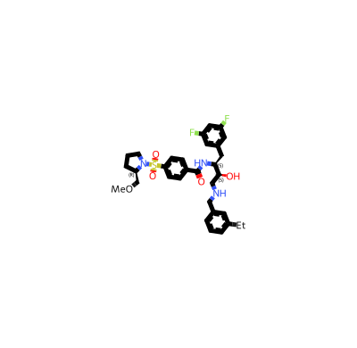 CCc1cccc(CNC[C@H](O)[C@H](Cc2cc(F)cc(F)c2)NC(=O)c2ccc(S(=O)(=O)N3CCC[C@@H]3COC)cc2)c1